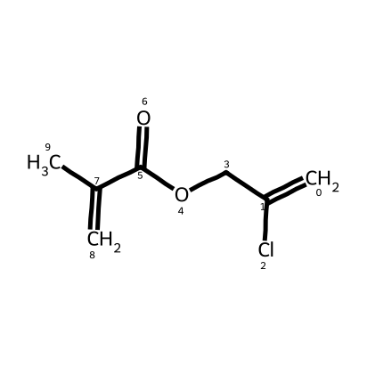 C=C(Cl)COC(=O)C(=C)C